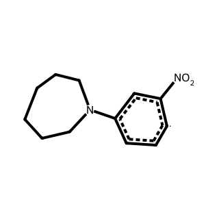 O=[N+]([O-])c1[c]ccc(N2CCCCCC2)c1